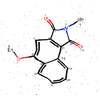 CCCN1C(=O)c2cc(OCC)c3ccccc3c2C1=O